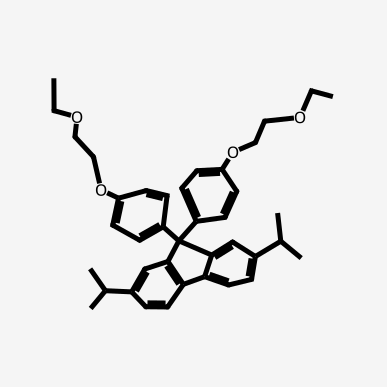 CCOCCOc1ccc(C2(c3ccc(OCCOCC)cc3)c3cc(C(C)C)ccc3-c3ccc(C(C)C)cc32)cc1